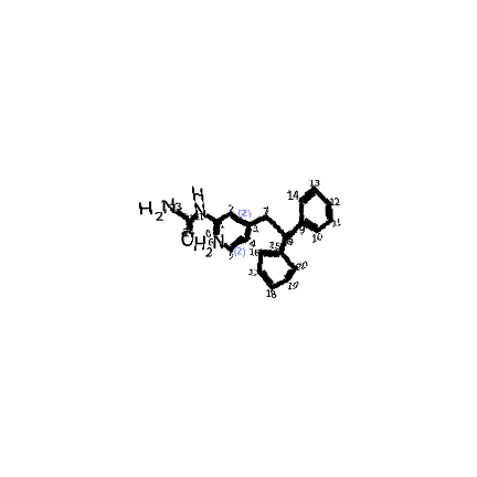 C=C(/C=C(\C=C/N)CC(c1ccccc1)c1ccccc1)NC(N)=O